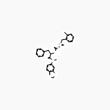 Cc1ccccc1CS(=O)(=O)NC(=O)NC(Cc1ccccc1)C(=O)N(C)c1ccc2c(c1)OCO2